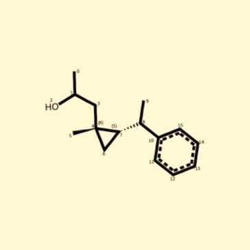 CC(O)C[C@@]1(C)C[C@H]1C(C)c1ccccc1